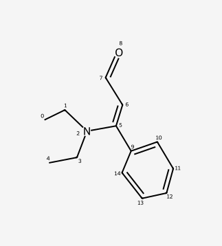 CCN(CC)C(=CC=O)c1ccccc1